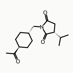 CC(=O)[C@H]1CC[C@H](CN2C(=O)C[C@H](C(C)C)C2=O)CC1